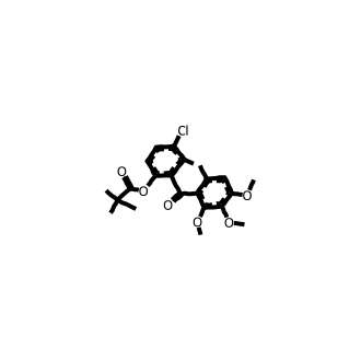 COc1cc(C)c(C(=O)c2c(OC(=O)C(C)(C)C)ccc(Cl)c2C)c(OC)c1OC